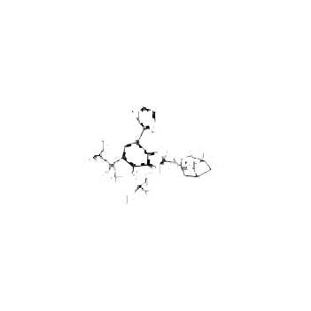 O[C@H](c1cc(-c2nccs2)c2oc(N3CC4CC(C3)N4)nc2c1OC(F)(F)F)C(F)F